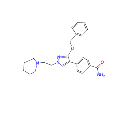 NC(=O)c1ccc(-c2cn(CCN3CCCCC3)nc2OCc2ccccc2)cc1